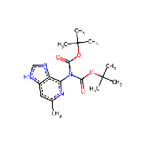 Cc1cc2[nH]cnc2c(N(C(=O)OC(C)(C)C)C(=O)OC(C)(C)C)n1